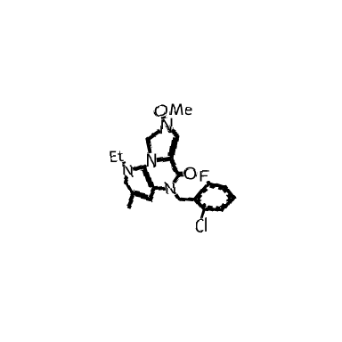 CCN1CC(C)=CC2=C1N1CN(OC)C=C1C(=O)N2Cc1c(F)cccc1Cl